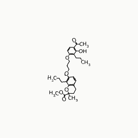 CCCc1c(OCCCOc2ccc3c(c2CCC)OC(C)(C(=O)OC)CC3)ccc(C(C)=O)c1O